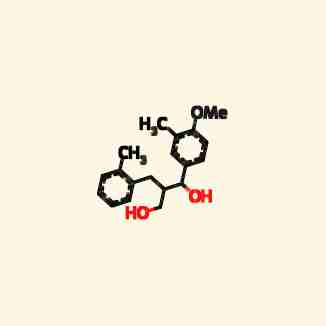 COc1ccc(C(O)C(CO)Cc2ccccc2C)cc1C